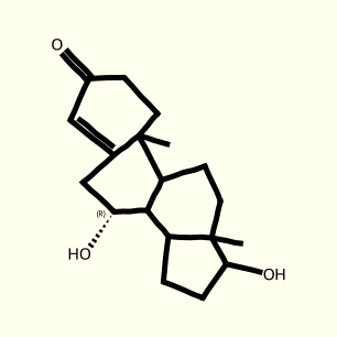 CC12CCC(=O)C=C1C[C@@H](O)C1C2CCC2(C)C(O)CCC12